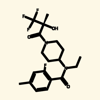 CCN(C(=O)c1ccc(C)cc1F)C1CCN(C(=O)[C@@](C)(O)C(F)(F)F)CC1